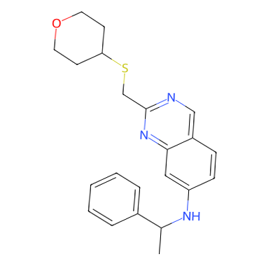 CC(Nc1ccc2cnc(CSC3CCOCC3)nc2c1)c1ccccc1